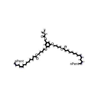 CCCCC/C=C\C/C=C\CCCCCCCC(=O)OCCCCOc1cc(COC(=O)CN(C)C)cc(OCCCCOC(=O)CCCCCCC/C=C\C/C=C\CCCCC)c1